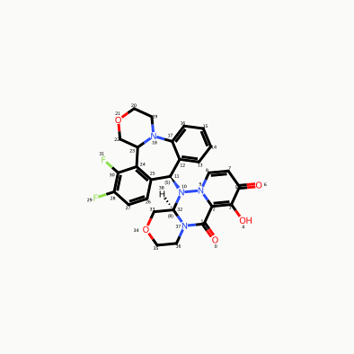 O=C1c2c(O)c(=O)ccn2N([C@@H]2c3ccccc3N3CCOCC3c3c2ccc(F)c3F)[C@@H]2COCCN12